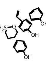 C1CC[SiH2]OC1.C=Cc1ccc(O)cc1.Oc1ccccc1.Oc1ccccc1